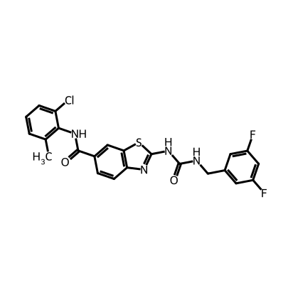 Cc1cccc(Cl)c1NC(=O)c1ccc2nc(NC(=O)NCc3cc(F)cc(F)c3)sc2c1